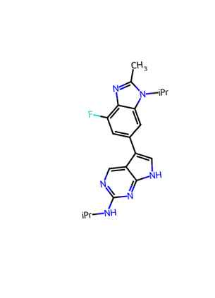 Cc1nc2c(F)cc(-c3c[nH]c4nc(NC(C)C)ncc34)cc2n1C(C)C